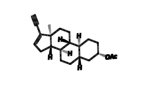 C#CC1=CC[C@H]2[C@@H]3CC[C@H]4C[C@@H](OC(C)=O)CC[C@@H]4[C@H]3CC[C@]12C